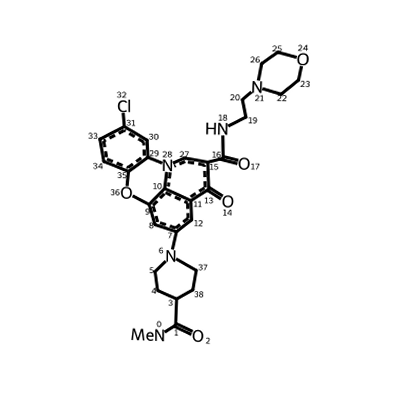 CNC(=O)C1CCN(c2cc3c4c(c2)c(=O)c(C(=O)NCCN2CCOCC2)cn4-c2cc(Cl)ccc2O3)CC1